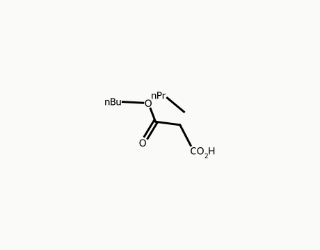 CCCC.CCCCOC(=O)CC(=O)O